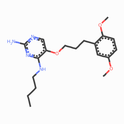 CCCCNc1nc(N)ncc1OCCCc1cc(OC)ccc1OC